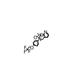 CS(=O)(=O)N(Cc1cccnc1)c1ccc(OCC(F)(F)F)cc1